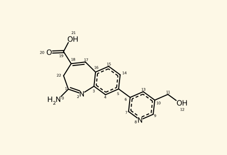 NC1=Nc2cc(-c3cncc(CO)c3)ccc2C=C(C(=O)O)C1